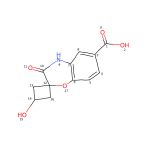 O=C(O)c1ccc2c(c1)NC(=O)C1(CC(O)C1)O2